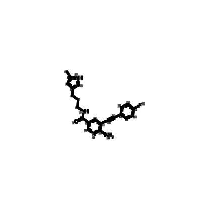 Cc1cc(CCCNC(=O)c2cnc(N)c(C#Cc3ccc(F)cc3)c2)c[nH]1